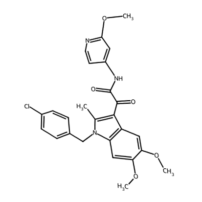 COc1cc(NC(=O)C(=O)c2c(C)n(Cc3ccc(Cl)cc3)c3cc(OC)c(OC)cc23)ccn1